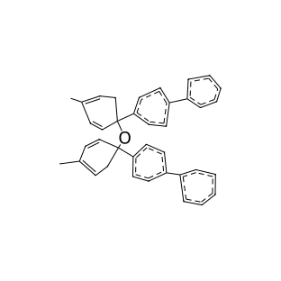 CC1=CCC(OC2(c3ccc(-c4ccccc4)cc3)C=CC(C)=CC2)(c2ccc(-c3ccccc3)cc2)C=C1